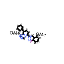 COc1ccccc1-c1ccc(NCc2c(I)cccc2OC)n2cnnc12